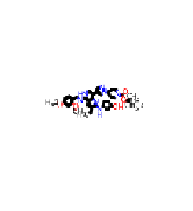 CCc1cc2c(NCc3ccc(OC)cc3OC)ncc(-c3cnn(C4CCN(C(=O)OC(C)(C)C)CC4)c3)c2nc1N[C@@H]1CC[C@H](O)C1